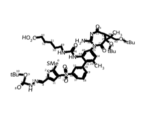 CSc1sc(C=NNC(=O)OC(C)(C)C)cc1S(=O)(=O)c1cccc(-c2c(C)cc(N3C(=O)C4(OC(C)(C)C)C(C(=O)N=C3N)C4(C)COC(C)(C)C)cc2NC(=O)NCCCCCC(=O)O)c1